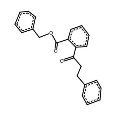 O=C(CCc1ccccc1)c1ccccc1C(=O)OCc1ccccc1